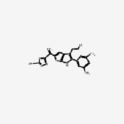 C=C(c1nnc(CCC)o1)c1cc2c(CCCl)c(-c3cc(C)cc(C)c3)[nH]c2s1